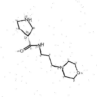 O=C(NCCCN1CCOCC1)[C@@H]1CCNC1